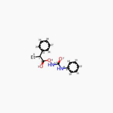 CCC(C(=O)ONC(=O)Nc1ccccc1)c1ccccc1